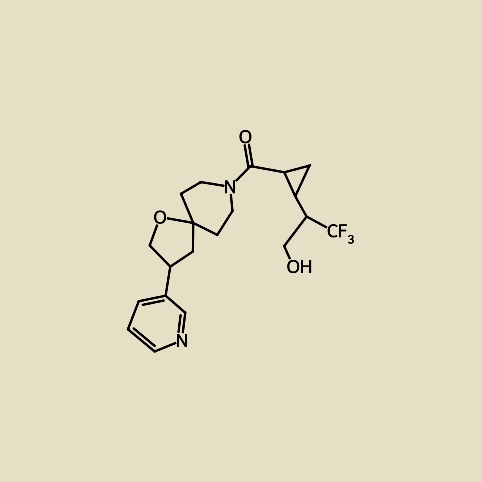 O=C(C1CC1C(CO)C(F)(F)F)N1CCC2(CC1)CC(c1cccnc1)CO2